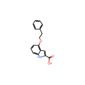 O=C(O)c1cc2c(OCCc3ccccc3)cccc2[nH]1